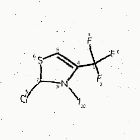 FC(F)(F)C1=CSC(Cl)N1I